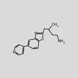 CC(CCN)Cc1nc2cc(-c3ccncc3)ccc2s1